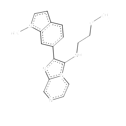 COCCNc1c(-c2ccc3ccn(C)c3c2)nc2cnccn12